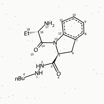 CCCCNNC(=O)[C@@H]1Cc2ccccc2N1C(=O)[C@@H](N)CC